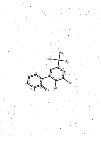 CCC(C)(C)c1cc(Br)c(O)c(-c2ccc[nH]c2=O)c1